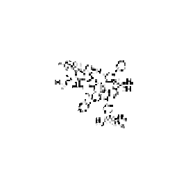 CC(C)(C)c1ccc(N2c3ccc(C(C)(C)C)cc3Bc3c2cc2c(oc4ccccc42)c3-c2cc3c(cc2Nc2ccc(-c4ccccc4)cc2)C(C)(C)c2cc4c(cc2-3)C(C)(C)CCC4(C)C)cc1